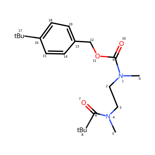 CN(CCN(C)C(=O)C(C)(C)C)C(=O)OCc1ccc(C(C)(C)C)cc1